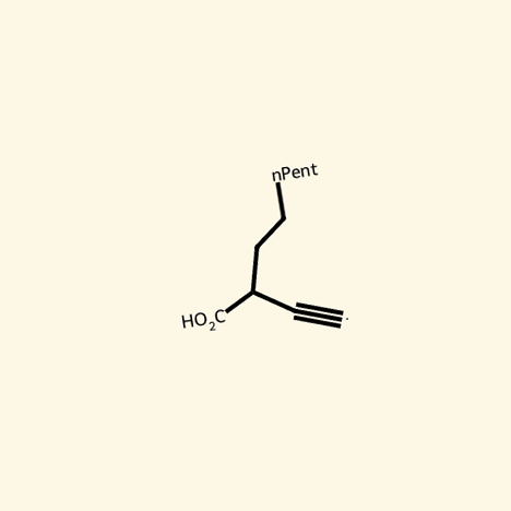 [C]#CC(CCCCCCC)C(=O)O